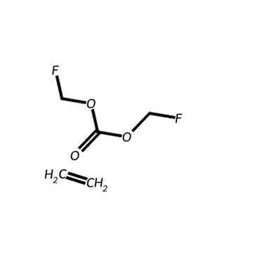 C=C.O=C(OCF)OCF